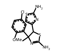 COc1ccc(Cl)cc1C1(C)N=C(N)SC1c1csc(N)n1